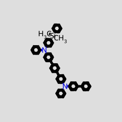 C[Si](C)(c1ccccc1)c1ccc(N(c2ccccc2)c2ccc(-c3ccc(-c4ccc(N(c5ccccc5)c5ccc(-c6ccccc6)cc5)cc4)cc3)cc2)cc1